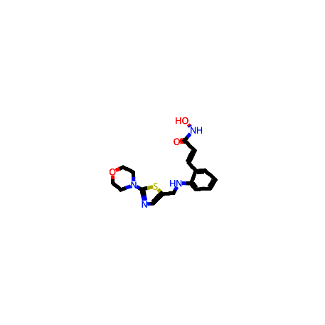 O=C(C=Cc1ccccc1NCc1cnc(N2CCOCC2)s1)NO